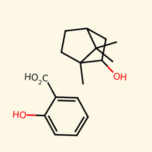 CC1(C)C2CCC1(C)C(O)C2.O=C(O)c1ccccc1O